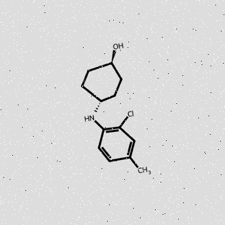 Cc1ccc(N[C@H]2CC[C@H](O)CC2)c(Cl)c1